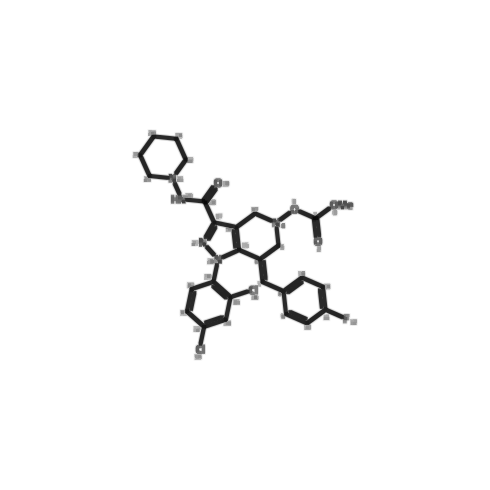 COC(=O)ON1C/C(=C\c2ccc(F)cc2)c2c(c(C(=O)NN3CCCCC3)nn2-c2ccc(Cl)cc2Cl)C1